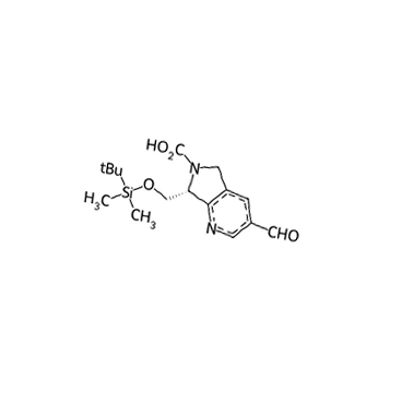 CC(C)(C)[Si](C)(C)OC[C@H]1c2ncc(C=O)cc2CN1C(=O)O